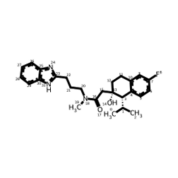 CC(C)[C@H]1c2ccc(F)cc2CC[C@]1(O)CC(=O)N(C)CCCc1nc2ccccc2[nH]1